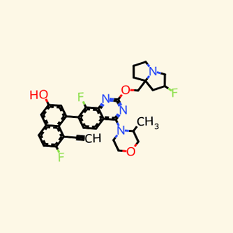 C#Cc1c(F)ccc2cc(O)cc(-c3ccc4c(N5CCOCC5C)nc(OCC56CCCN5CC(F)C6)nc4c3F)c12